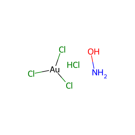 Cl.NO.[Cl][Au]([Cl])[Cl]